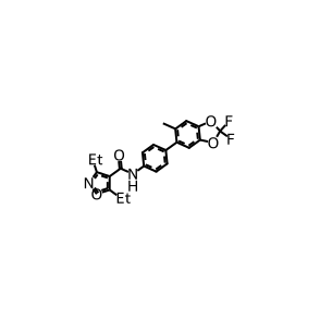 CCc1noc(CC)c1C(=O)Nc1ccc(-c2cc3c(cc2C)OC(F)(F)O3)cc1